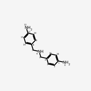 Nc1ccc(CNCc2ccc(N)cc2)cc1